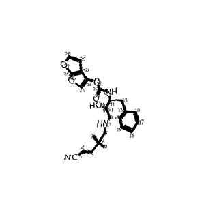 CC(C)(CCC#N)CNC[C@@H](O)[C@H](Cc1ccccc1)NC(=O)Oc1coc2occc12